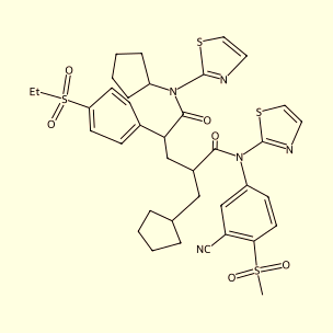 CCS(=O)(=O)c1ccc(C(CC(CC2CCCC2)C(=O)N(c2ccc(S(C)(=O)=O)c(C#N)c2)c2nccs2)C(=O)N(c2nccs2)C2CCCC2)cc1